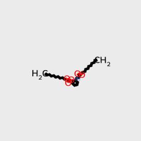 C=CCCCCCCCCOC(=O)/C=C/c1ccccc1OC(=O)OCCCCCCCCC=C